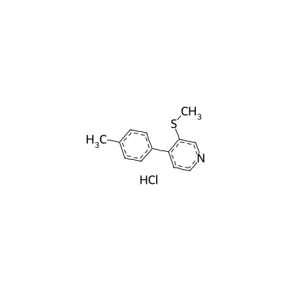 CSc1cnccc1-c1ccc(C)cc1.Cl